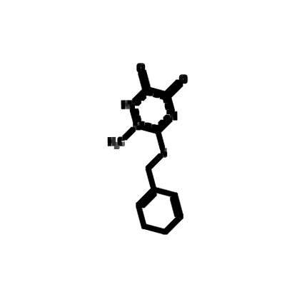 Cn1[nH]c(=O)c(=O)nc1SCC1=CCCC=C1